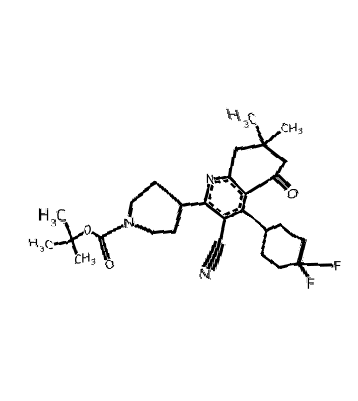 CC1(C)CC(=O)c2c(nc(C3CCN(C(=O)OC(C)(C)C)CC3)c(C#N)c2C2CCC(F)(F)CC2)C1